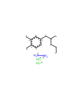 CCCC(C)Cc1ccc(C)c(C)c1.Cl.Cl.NN